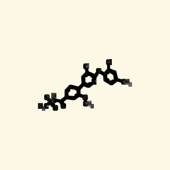 COc1cc(C(=O)NS(C)(=O)=O)ccc1-c1cnc(Oc2ccc(C)cc2Cl)c(Cl)c1